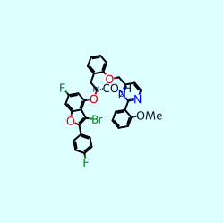 COc1ccccc1-c1nccc(COc2ccccc2C[C@@H](Oc2cc(F)cc3oc(-c4ccc(F)cc4)c(Br)c23)C(=O)O)n1